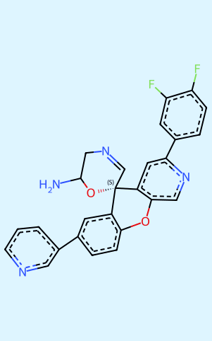 NC1CN=C[C@]2(O1)c1cc(-c3cccnc3)ccc1Oc1cnc(-c3ccc(F)c(F)c3)cc12